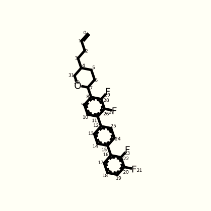 C=CCCC1CCC(c2ccc(-c3ccc(-c4cccc(F)c4F)cc3)c(F)c2F)OC1